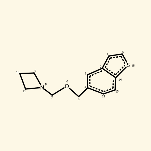 c1cc2cc(COCN3CCC3)ccc2s1